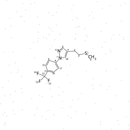 CSCCc1cnn(-c2ccc(C(F)(F)F)cc2)c1